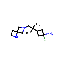 CCCC(C)(CN1CC2(CCN2)C1)C1CC(N)(Cl)C1